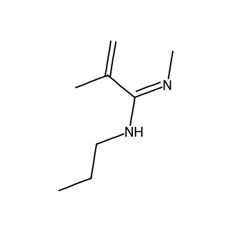 C=C(C)/C(=N\C)NCCC